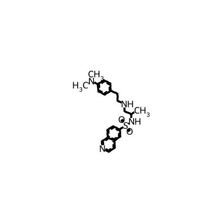 CC(CNCCc1ccc(N(C)C)cc1)NS(=O)(=O)c1ccc2cnccc2c1